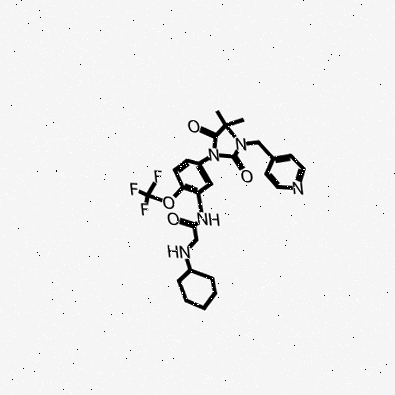 CC1(C)C(=O)N(c2ccc(OC(F)(F)F)c(NC(=O)CNC3CCCCC3)c2)C(=O)N1Cc1ccncc1